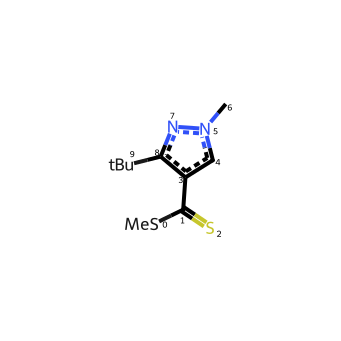 CSC(=S)c1cn(C)nc1C(C)(C)C